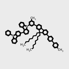 CCCCCCCCC1(CCCCCCCC)c2cc(-c3ccc(-c4ccc(C)cc4)cc3)ccc2-c2ccc(-c3cc(C)cc(-n4c5ccccc5c5c(-c6ccc7c(c6)c6ccccc6n7-c6ccccc6)cccc54)c3)cc21